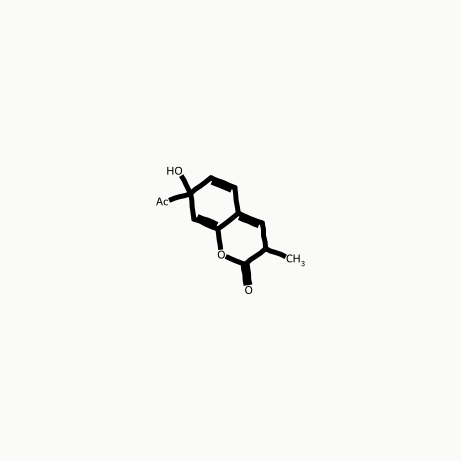 CC(=O)C1(O)C=CC2=CC(C)C(=O)OC2=C1